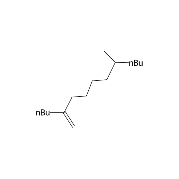 C=C(CCCC)CCCCC(C)CCCC